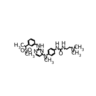 CC(c1cccc(Nc2nccc(N(C)c3ccc(NC(=O)NCCN(C)C)cc3)n2)c1)S(C)(=O)=O